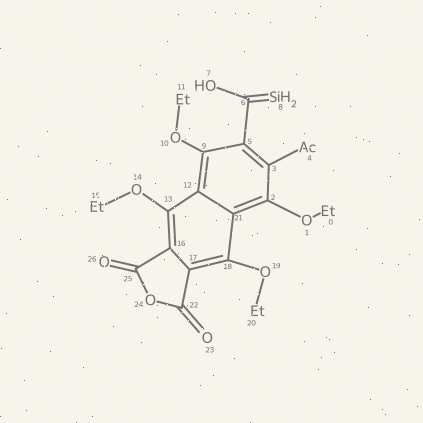 CCOc1c(C(C)=O)c(C(O)=[SiH2])c(OCC)c2c(OCC)c3c(c(OCC)c12)C(=O)OC3=O